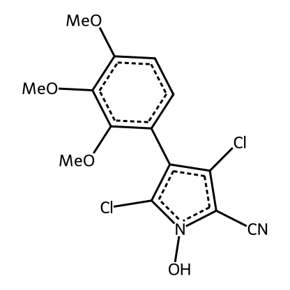 COc1ccc(-c2c(Cl)c(C#N)n(O)c2Cl)c(OC)c1OC